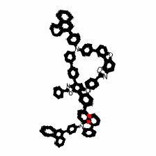 c1ccc(-c2nc3ccc4oc5ccc(-c6ccc(N(c7ccc(-c8cc9ccccc9c9ccccc89)cc7)c7cccc(-c8ccc(-c9cc%10oc%11ccc(-c%12ccc(N(c%13ccc(-c%14cc%15ccccc%15c%15ccccc%14%15)cc%13)c%13ccccc%13-c%13ccccc%13)cc%12)cc%11c%10c%10oc(-c%11ccccc%11)nc9%10)cc8)c7)cc6)cc5c4c3o2)cc1